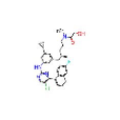 C=C(CCCN(CCC)C(=O)CO)Cc1cc(Nc2ncc(Cl)c(C3=CCCc4cc(F)ccc43)n2)cc(C2CC2)c1